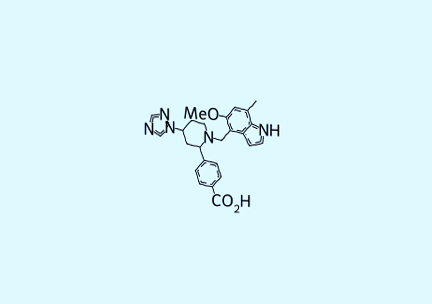 COc1cc(C)c2[nH]ccc2c1CN1CCC(n2cncn2)CC1c1ccc(C(=O)O)cc1